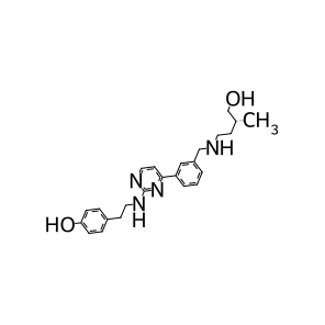 C[C@@H](CO)CCNCc1cccc(-c2ccnc(NCCc3ccc(O)cc3)n2)c1